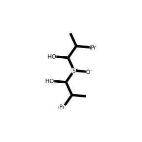 CC(C)C(C)C(O)[S+]([O-])C(O)C(C)C(C)C